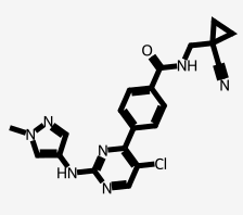 Cn1cc(Nc2ncc(Cl)c(-c3ccc(C(=O)NCC4(C#N)CC4)cc3)n2)cn1